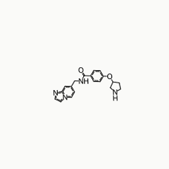 O=C(NCc1ccn2ccnc2c1)c1ccc(OC2CCNC2)cc1